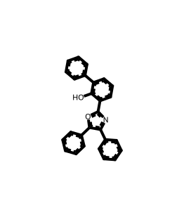 Oc1c(-c2ccccc2)cccc1-c1nc(-c2ccccc2)c(-c2ccccc2)o1